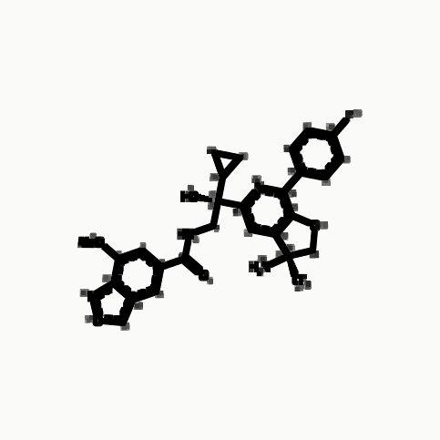 COc1cc(C(=O)NC[C@](O)(c2cc3c(c(-c4ccc(F)cc4)n2)OC[C@@]3(N)C(F)(F)F)C2CC2)cc2conc12